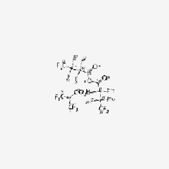 O=C(O)C(C(F)(F)F)C(F)(F)F.O=C(OC(=O)C(F)(F)C(F)(F)C(F)(F)F)C(F)(F)C(F)(F)C(F)(F)F